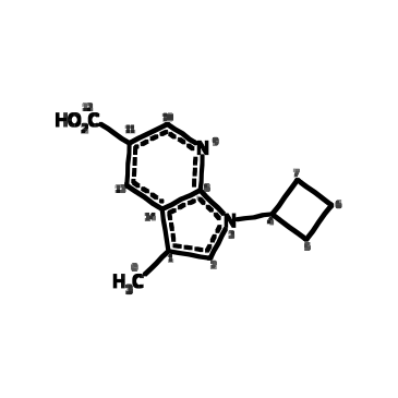 Cc1cn(C2CCC2)c2ncc(C(=O)O)cc12